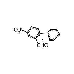 O=Cc1cc([N+](=O)[O-])ccc1-c1ccccc1